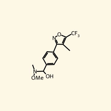 CON(C)C(O)c1ccc(-c2noc(C(F)(F)F)c2C)cc1